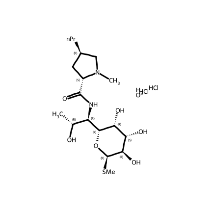 CCC[C@@H]1C[C@@H](C(=O)N[C@@H]([C@H]2O[C@H](SC)[C@H](O)[C@@H](O)[C@H]2O)[C@@H](C)O)N(C)C1.Cl.Cl.O